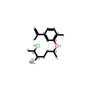 C=C(C)c1ccc(C)c(OC(C)CCC(C#N)C(C)Cl)c1